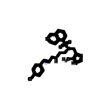 Cc1[nH]cnc1CN(CCNC/C=C/c1ccc(Cl)cc1)S(=O)(=O)c1cccc2cnccc12